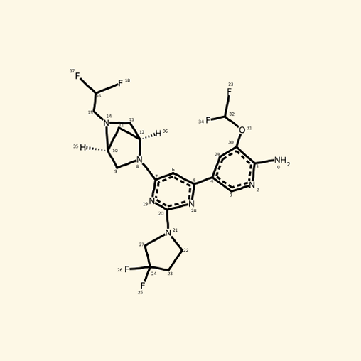 Nc1ncc(-c2cc(N3C[C@@H]4C[C@H]3CN4CC(F)F)nc(N3CCC(F)(F)C3)n2)cc1OC(F)F